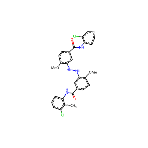 COc1ccc(C(=O)Nc2ccccc2Cl)cc1NNc1cc(C(=O)Nc2cccc(Cl)c2C)ccc1OC